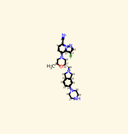 C[C@@H]1CN(c2ccc(C#N)n3ncc(F)c23)C[C@H](CN2Cc3ccc(N4CCNCC4)cc3C2)O1